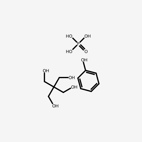 O=P(O)(O)O.OCC(CO)(CO)CO.Oc1ccccc1